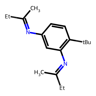 CCC(C)=Nc1ccc(C(C)(C)C)c(N=C(C)CC)c1